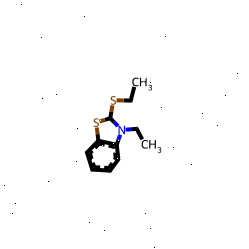 CCSC1Sc2ccccc2N1CC